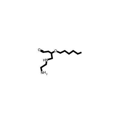 CCCCCCOC(CC=O)CNCCN